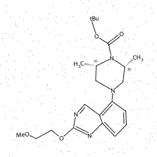 COCCOc1ncc2c(N3C[C@@H](C)N(C(=O)OC(C)(C)C)[C@@H](C)C3)cccc2n1